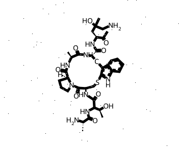 CC(=O)[C@H](CC(C)(O)CN)NC(=O)[C@@H]1Cc2c([nH]c3ccccc23)SC[C@@H](NC(=O)C(NC(=O)[C@H](C)N)[C@H](C)O)C(=O)N2CCC[C@H]2C(=O)N[C@@H](C)C(=O)N1